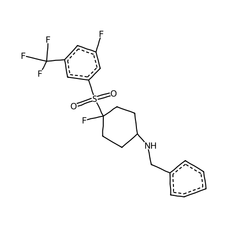 O=S(=O)(c1cc(F)cc(C(F)(F)F)c1)C1(F)CCC(NCc2ccccc2)CC1